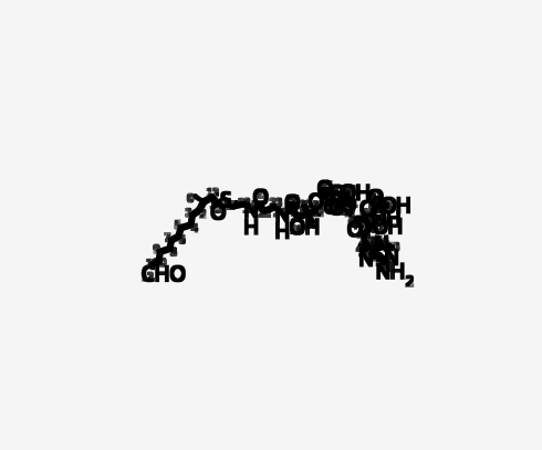 C[C@H](CCCCCCCCCCC=O)CC(=O)SCCNC(=O)CCNC(=O)C(O)C(C)(C)COP(=O)(O)OP(=O)(O)OC[C@H]1O[C@@H](n2cnc3c(N)ncnc32)[C@H](O)[C@@H]1OP(=O)(O)O